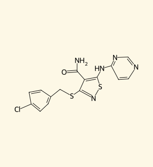 NC(=O)c1c(SCc2ccc(Cl)cc2)nsc1Nc1ccncn1